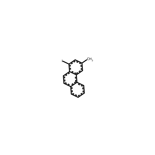 Cc1cc(I)c2ccc3ccccc3c2c1